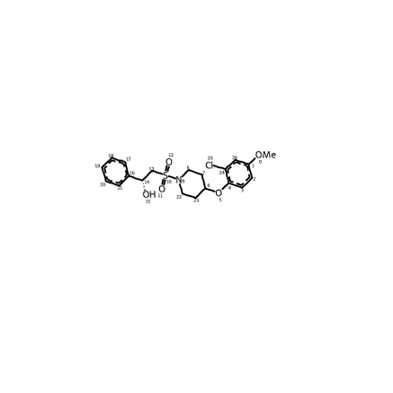 COc1ccc(OC2CCN(S(=O)(=O)C[C@H](O)c3ccccc3)CC2)c(Cl)c1